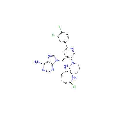 N=C1C=CC=C(Cl)N[C@@]12CCCN(c1cnc(-c3ccc(F)c(F)c3)cc1Cn1cnc3c(N)ncnc31)C2